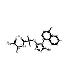 Cc1ccc(-n2c(Br)nnc2SC(C)(C)C(=O)NC(C)C(=O)O)c2ccccc12